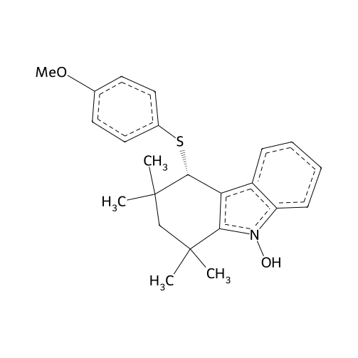 COc1ccc(S[C@@H]2c3c(n(O)c4ccccc34)C(C)(C)CC2(C)C)cc1